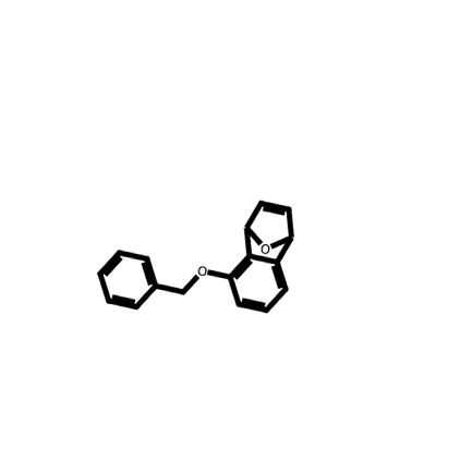 C1=CC2OC1c1cccc(OCc3ccccc3)c12